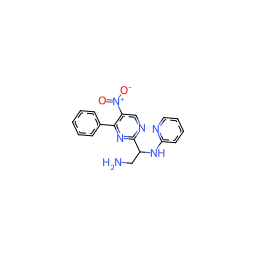 NCC(Nc1ccccn1)c1ncc([N+](=O)[O-])c(-c2ccccc2)n1